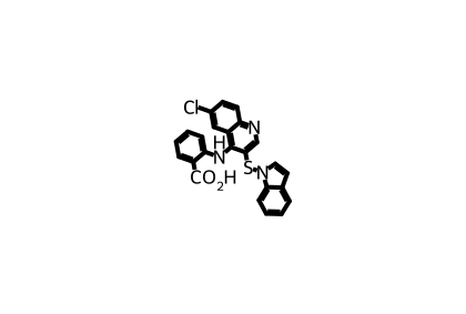 O=C(O)c1ccccc1Nc1c(Sn2ccc3ccccc32)cnc2ccc(Cl)cc12